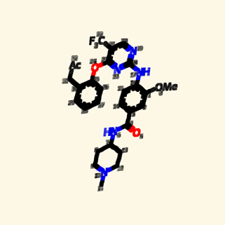 COc1cc(C(=O)NC2CCN(C)CC2)ccc1Nc1ncc(C(F)(F)F)c(Oc2ccccc2CC(C)=O)n1